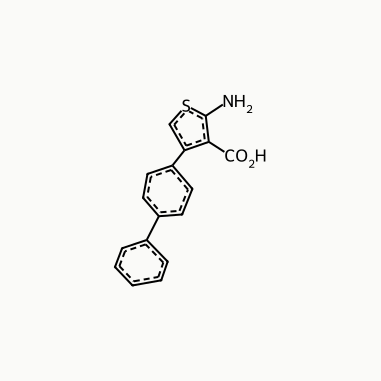 Nc1scc(-c2ccc(-c3ccccc3)cc2)c1C(=O)O